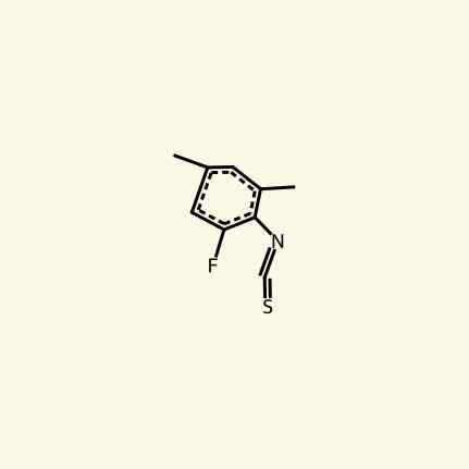 Cc1cc(C)c(N=C=S)c(F)c1